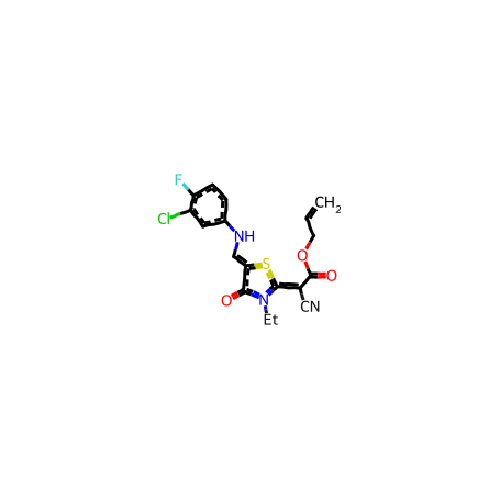 C=CCOC(=O)C(C#N)=c1sc(=CNc2ccc(F)c(Cl)c2)c(=O)n1CC